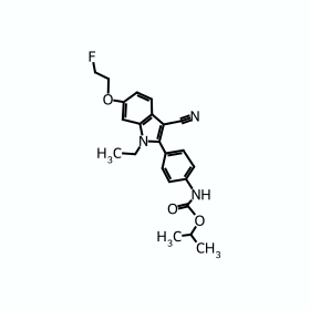 CCn1c(-c2ccc(NC(=O)OC(C)C)cc2)c(C#N)c2ccc(OCCF)cc21